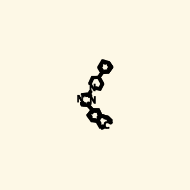 c1ccc(C2CCN(c3cncc(-c4ccc5ccccc5c4)n3)CC2)cc1